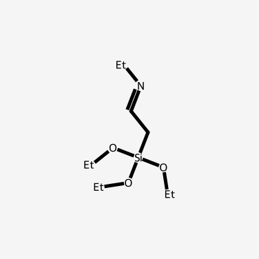 CCN=CC[Si](OCC)(OCC)OCC